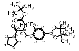 CC(C)(C)OC(=O)N[C@@H](Cc1ccc(B2OC(C)(C)C(C)(C)O2)cc1F)C(=O)N1CCCC1